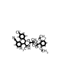 COc1cccc(OC)c1C(=O)OC(C)(C)C(=O)NC(C)C(Cc1ccc(Cl)cc1)c1cccc(C#N)c1